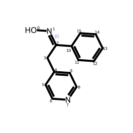 O/N=C(\Cc1ccncc1)c1ccccc1